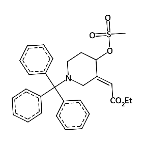 CCOC(=O)C=C1CN(C(c2ccccc2)(c2ccccc2)c2ccccc2)CCC1OS(C)(=O)=O